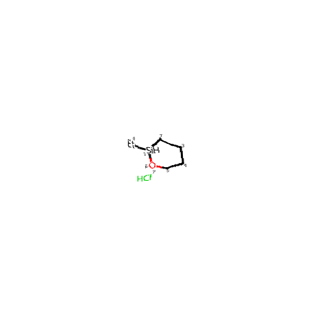 CC[SiH]1CCCCO1.Cl